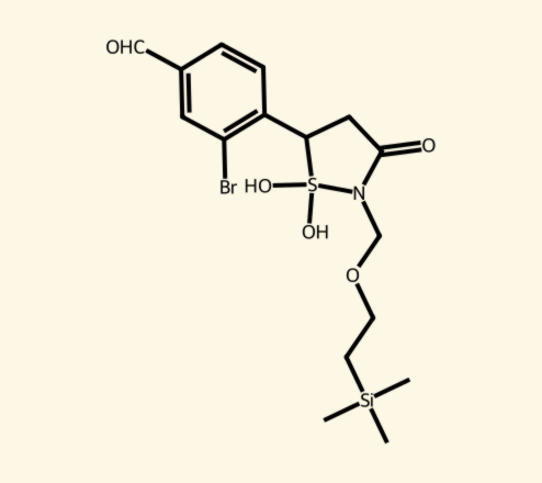 C[Si](C)(C)CCOCN1C(=O)CC(c2ccc(C=O)cc2Br)S1(O)O